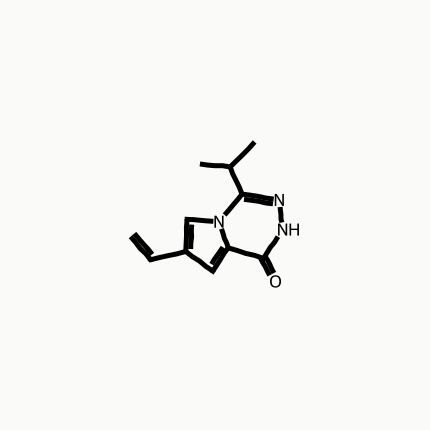 C=Cc1cc2c(=O)[nH]nc(C(C)C)n2c1